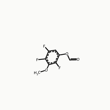 COc1c(F)c(F)cc(OC=O)c1F